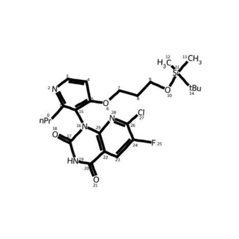 CCCc1nccc(OCCCO[Si](C)(C)C(C)(C)C)c1-n1c(=O)[nH]c(=O)c2cc(F)c(Cl)nc21